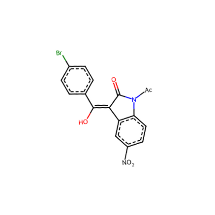 CC(=O)N1C(=O)C(=C(O)c2ccc(Br)cc2)c2cc([N+](=O)[O-])ccc21